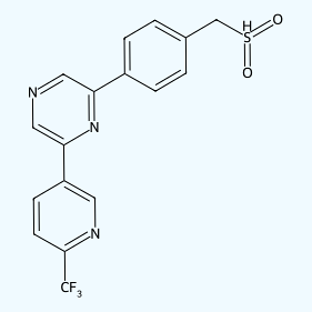 O=[SH](=O)Cc1ccc(-c2cncc(-c3ccc(C(F)(F)F)nc3)n2)cc1